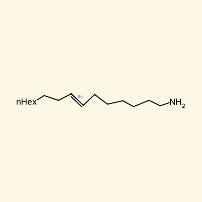 CCCCCCCC/C=C/CCCCCCN